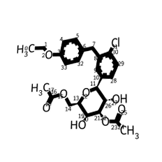 CCOc1ccc(Cc2cc([C@@H]3O[C@H](COC(C)=O)[C@@H](O)[C@H](OC(C)=O)[C@H]3O)ccc2Cl)cc1